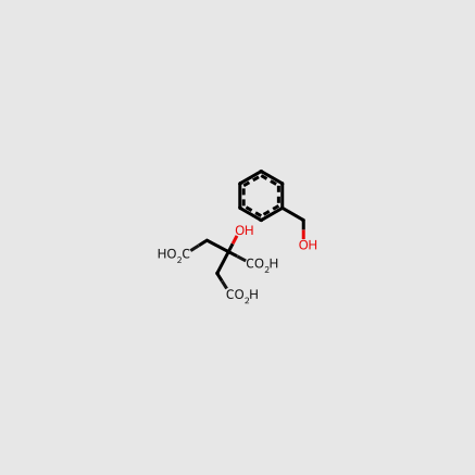 O=C(O)CC(O)(CC(=O)O)C(=O)O.OCc1ccccc1